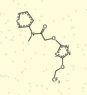 CN(C(=O)COc1nnc(OCC(F)(F)F)s1)c1ccccc1